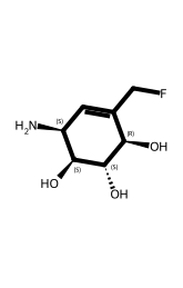 N[C@H]1C=C(CF)[C@@H](O)[C@H](O)[C@H]1O